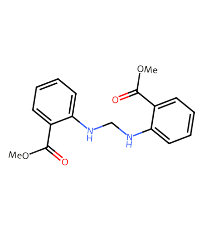 COC(=O)c1ccccc1NCNc1ccccc1C(=O)OC